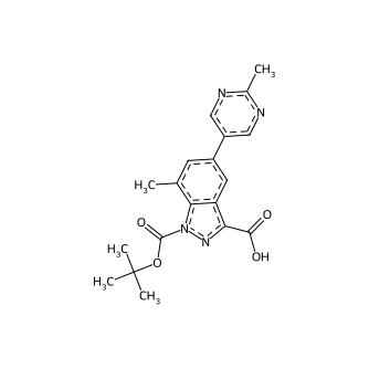 Cc1ncc(-c2cc(C)c3c(c2)c(C(=O)O)nn3C(=O)OC(C)(C)C)cn1